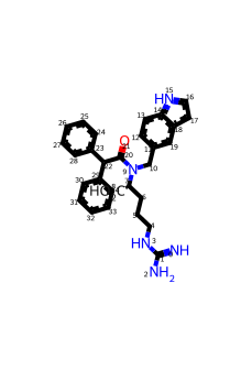 N=C(N)NCCC[C@@H](C(=O)O)N(Cc1ccc2[nH]ccc2c1)C(=O)C(c1ccccc1)c1ccccc1